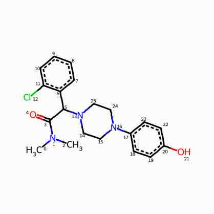 CN(C)C(=O)C(c1ccccc1Cl)N1CCN(c2ccc(O)cc2)CC1